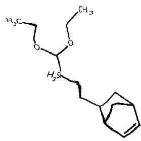 CCOC(OCC)[SiH2]CCC1CC2C=CC1C2